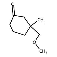 COCC1(C)CCCC(=O)C1